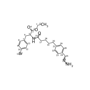 CCOC(=O)C(Cc1ccc(Br)cc1)NC(=O)CCCCc1ccc(C=NN)cc1